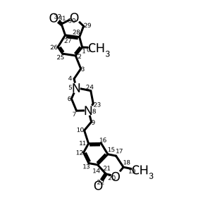 Cc1c(CCN2CCN(CCc3ccc4c(c3)CC(C)OC4=O)CC2)ccc2c1COC2=O